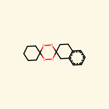 c1ccc2c(c1)CCC1(C2)OOC2(CCCCC2)OO1